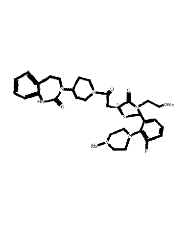 COCCN1C(=O)[C@H](CC(=O)N2CCC(N3CCc4ccccc4NC3=O)CC2)SC1c1cccc(F)c1N1CCN(C(C)(C)C)CC1